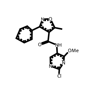 COc1nc(Cl)ncc1NC(=O)c1c(-c2ccccc2)noc1C